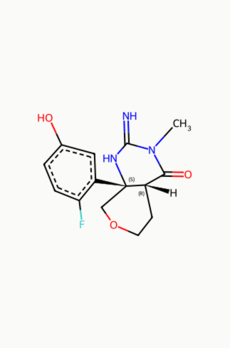 CN1C(=N)N[C@@]2(c3cc(O)ccc3F)COCC[C@H]2C1=O